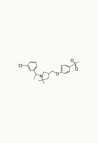 CC(c1cccc(Cl)c1)N1CC(COc2ccc(S(C)(=O)=O)cc2)CC1(C)C